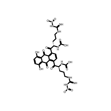 N=C(NCCC[C@H](NC(=O)O)C(=O)c1ccc(C(=O)[C@H](CCCNC(=N)N[N+](=O)[O-])NC(=O)O)c2c1C(=O)c1c(O)ccc(O)c1C2=O)N[N+](=O)[O-]